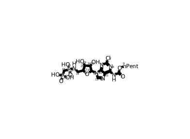 CCCCCOC(=O)Nc1nc(Cl)nc2c1ncn2C1OC(CNP(=O)(O)CP(=O)(O)O)C(O)C1O